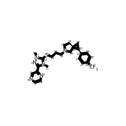 CN1N=C(c2cnccn2)N(C)C1SCCCN1CC[C@]2(C[C@H]2c2ccc(C(F)(F)F)cc2)C1